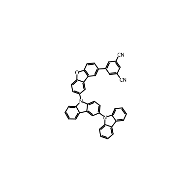 N#Cc1cc(C#N)cc(-c2ccc3oc4ccc(-n5c6ccccc6c6cc(-n7c8ccccc8c8ccccc87)ccc65)cc4c3c2)c1